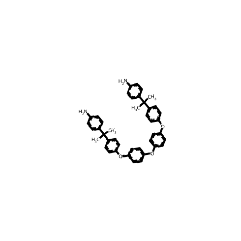 CC(C)(c1ccc(N)cc1)c1ccc(Oc2ccc(Oc3ccc(Oc4ccc(C(C)(C)c5ccc(N)cc5)cc4)cc3)cc2)cc1